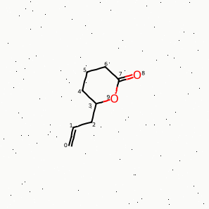 C=CCC1CCCC(=O)O1